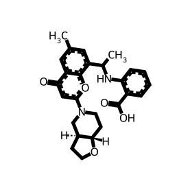 Cc1cc(C(C)Nc2ccccc2C(=O)O)c2oc(N3CC[C@@H]4OCC[C@H]4C3)cc(=O)c2c1